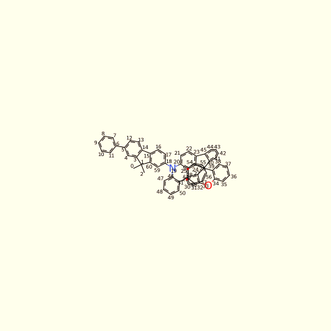 CC1(C)c2cc(-c3ccccc3)ccc2-c2ccc(N(c3ccc4c(c3)C3(c5ccccc5Oc5ccccc53)c3ccccc3-4)c3ccccc3C3=CC=CC=CC3)cc21